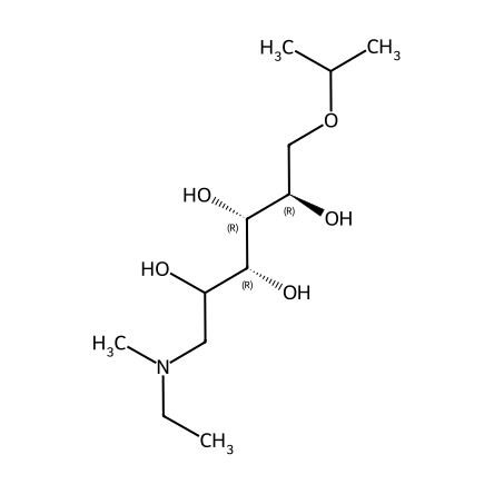 CCN(C)CC(O)[C@@H](O)[C@H](O)[C@H](O)COC(C)C